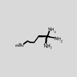 CCCCCCCC(N)(N)N